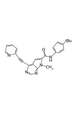 Cn1c(C(=O)Nc2ccc(C(C)(C)C)cc2)cc2c(C#Cc3ccccn3)ncnc21